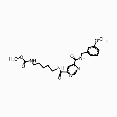 COC(=O)NCCCCCNC(=O)c1cc(C(=O)NCc2cccc(OC)c2)ncn1